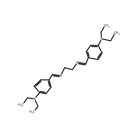 CCN(CC)c1ccc(C=NCCN=Cc2ccc(N(CC)CC)cc2)cc1